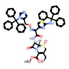 CCCCOC(=O)C1=C(CBr)C[S+]([O-])[C@H]2[C@@H](NC(=O)C(=NOCc3cncn3C(c3ccccc3)(c3ccccc3)c3ccccc3)c3csc(NC(c4ccccc4)(c4ccccc4)c4ccccc4)n3)C(=O)N12